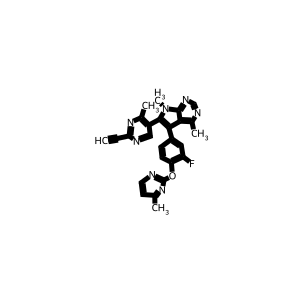 C#Cc1ncc(-c2c(-c3ccc(Oc4nccc(C)n4)c(F)c3)c3c(C)ncnc3n2C)c(C)n1